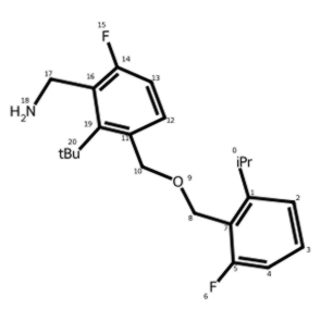 CC(C)c1cccc(F)c1COCc1ccc(F)c(CN)c1C(C)(C)C